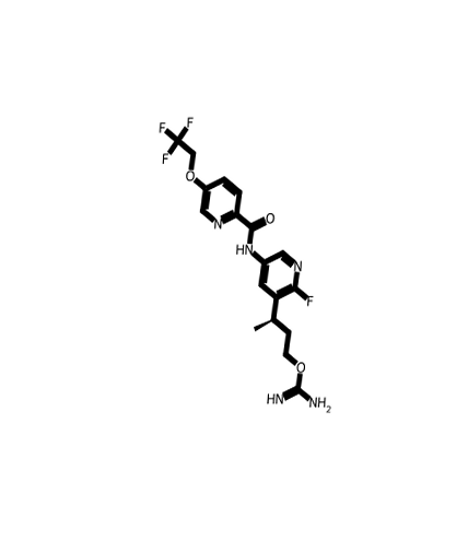 C[C@H](CCOC(=N)N)c1cc(NC(=O)c2ccc(OCC(F)(F)F)cn2)cnc1F